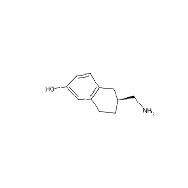 NC[C@H]1CCc2cc(O)ccc2C1